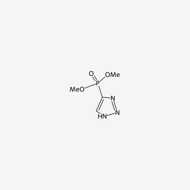 COP(=O)(OC)c1c[nH]nn1